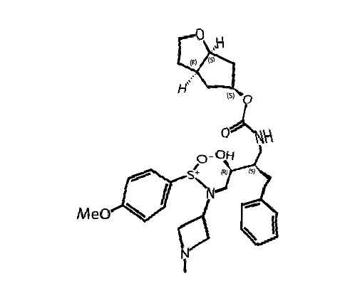 COc1ccc([S+]([O-])N(C[C@@H](O)[C@H](Cc2ccccc2)NC(=O)O[C@H]2C[C@H]3CCO[C@H]3C2)C2CN(C)C2)cc1